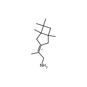 C/C(CN)=C1/CC2(C)CC(C)(C)C2(C)C1